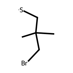 CC(C)(C[S])CBr